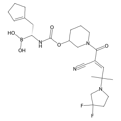 CC(C)(C=C(C#N)C(=O)N1CCCC(OC(=O)N[C@@H](CC2=CCCC2)B(O)O)C1)N1CCC(F)(F)C1